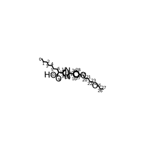 CCCCCCCC(C(=O)O)c1cnc(-c2ccc(OCCCCOCCC)cc2)nc1